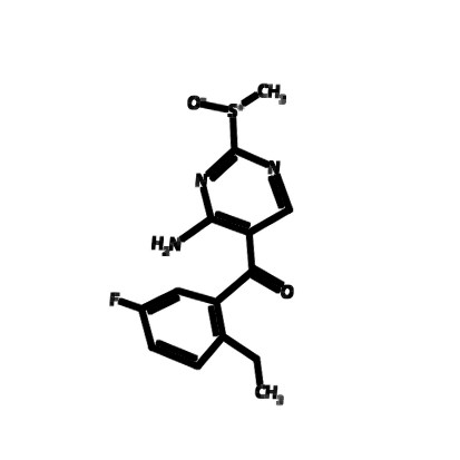 CCc1ccc(F)cc1C(=O)c1cnc([S+](C)[O-])nc1N